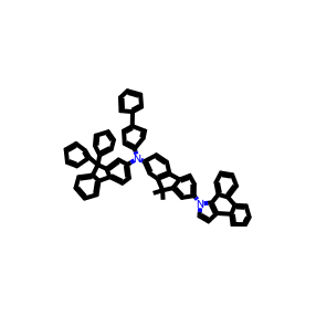 CC1(C)c2cc(N(c3ccc(-c4ccccc4)cc3)c3ccc4c(c3)C(c3ccccc3)(c3ccccc3)c3ccccc3-4)ccc2-c2ccc(-n3ccc4c5ccccc5c5ccccc5c43)cc21